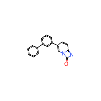 O=C1N=C2C=CC(c3cccc(-c4ccccc4)c3)=CN12